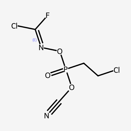 N#COP(=O)(CCCl)O/N=C(\F)Cl